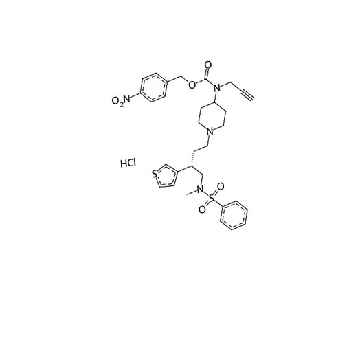 C#CCN(C(=O)OCc1ccc([N+](=O)[O-])cc1)C1CCN(CC[C@H](CN(C)S(=O)(=O)c2ccccc2)c2ccsc2)CC1.Cl